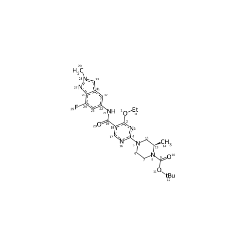 CCOc1nc(N2CCN(C(=O)OC(C)(C)C)[C@H](C)C2)ncc1C(=O)Nc1cc(F)c2nn(C)cc2c1